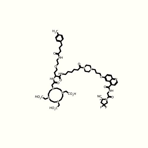 Cc1ccc(CCCC(=O)NCCOCCC(NC(=O)CN2CCN(CC(=O)O)CCN(CC(=O)O)CCN(CC(=O)O)CC2)C(=O)NCCCCCC(=O)N2CCN(CCCOc3ccc4nccc(C(=O)NCC(=O)N5CC(F)(F)C[C@@H]5C#N)c4c3)CC2)cc1